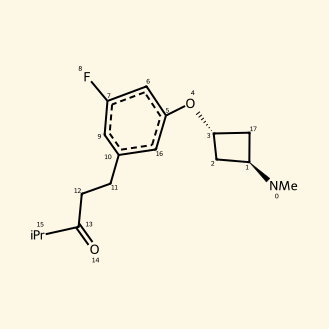 CN[C@H]1C[C@H](Oc2cc(F)cc(CCC(=O)C(C)C)c2)C1